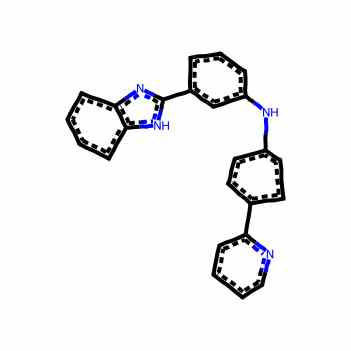 c1ccc(-c2ccc(Nc3cccc(-c4nc5ccccc5[nH]4)c3)cc2)nc1